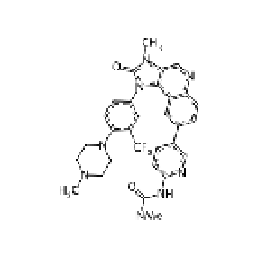 CNC(=O)Nc1ccc(-c2ccc3ncc4c(c3c2)n(-c2ccc(N3CCN(C)CC3)c(C(F)(F)F)c2)c(=O)n4C)cn1